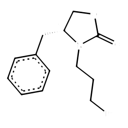 O=C1OC[C@@H](Cc2ccccc2)N1CCCBr